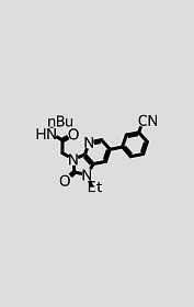 CCCCNC(=O)Cn1c(=O)n(CC)c2cc(-c3cccc(C#N)c3)cnc21